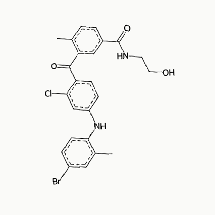 Cc1cc(Br)ccc1Nc1ccc(C(=O)c2cc(C(=O)NCCO)ccc2C)c(Cl)c1